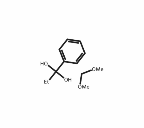 CCC(O)(O)c1ccccc1.COCOC